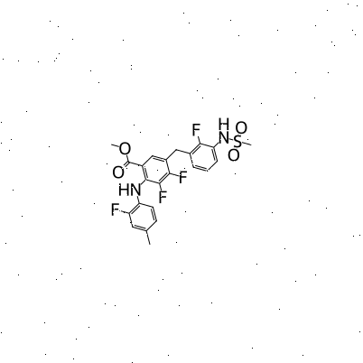 COC(=O)c1cc(Cc2cccc(NS(C)(=O)=O)c2F)c(F)c(F)c1Nc1ccc(C)cc1F